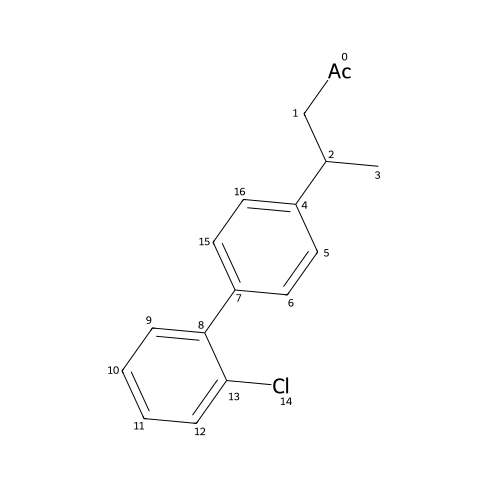 CC(=O)CC(C)c1ccc(-c2ccccc2Cl)cc1